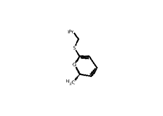 CC(C)CSC1=CC=C[C@@H](C)O1